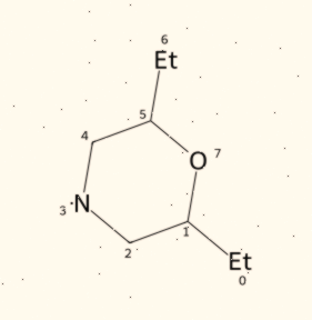 CCC1C[N]CC(CC)O1